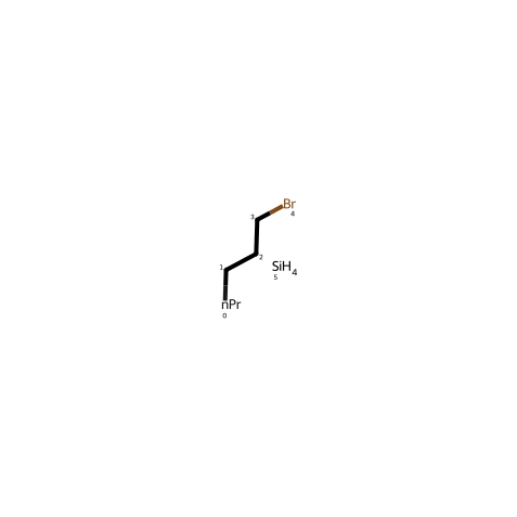 CCCCCCBr.[SiH4]